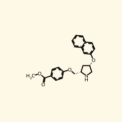 COC(=O)c1ccc(OC[C@@H]2C[C@H](Oc3ccc4ccccc4c3)CN2)cc1